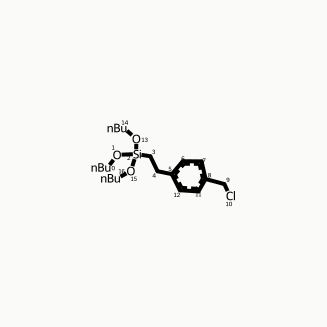 CCCCO[Si](CCc1ccc(CCl)cc1)(OCCCC)OCCCC